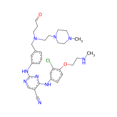 CNCCOc1ccc(Nc2nc(Nc3cccc(CN(CCC=O)CCN4CCN(C)CC4)c3)ncc2C#N)cc1Cl